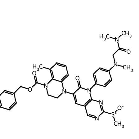 Cc1cccc2c1N(C(=O)OCc1ccccc1)CCN2c1cc2cnc([S+](C)[O-])nc2n(-c2ccc(N(C)CC(=O)N(C)C)cc2)c1=O